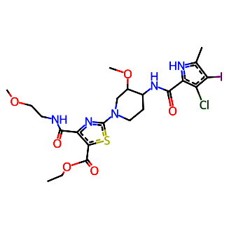 CCOC(=O)c1sc(N2CCC(NC(=O)c3[nH]c(C)c(I)c3Cl)C(OC)C2)nc1C(=O)NCCOC